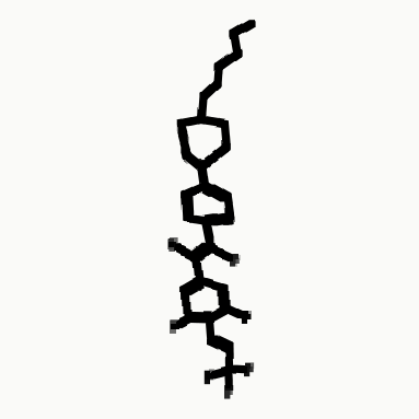 CCCCCCC1CCC(c2ccc(/C(F)=C(\F)c3cc(F)c(/C=C/C(F)(F)F)c(F)c3)cc2)CC1